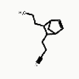 CCCC1C2C=CC(C2)C1CCC#N